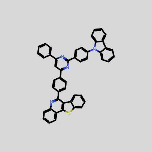 c1ccc(-c2cc(-c3ccc(-c4nc5ccccc5c5sc6ccccc6c45)cc3)nc(-c3ccc(-n4c5ccccc5c5ccccc54)cc3)n2)cc1